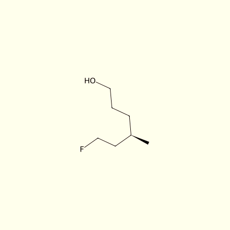 C[C@@H](CCF)CCCO